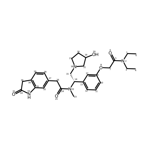 CCN(CC)C(=O)COc1cccc([C@@H](CN2CCC(O)C2)N(C)C(=O)Cc2ccc3c(c2)NC(=O)C3)c1